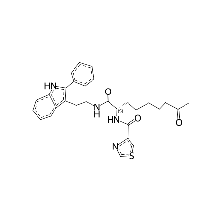 CC(=O)CCCCC[C@H](NC(=O)c1cscn1)C(=O)NCCc1c(-c2ccccc2)[nH]c2ccccc12